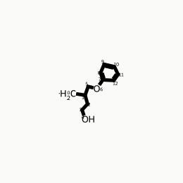 [CH2]C(CCO)COc1ccccc1